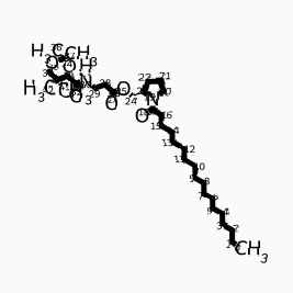 CCCCCCCCCCCCCCCCCC(=O)N1CCC[C@H]1COC(=O)CCNC(=O)C1OC(C)(C)OCC1(C)C